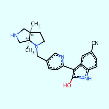 C[C@]12CCN(Cc3ccc(-c4c(O)[nH]c5ccc(C#N)cc45)nc3)[C@@]1(C)CNC2